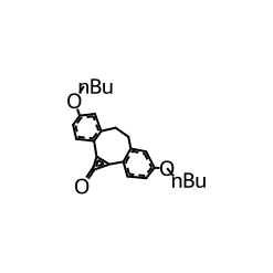 CCCCOc1ccc2c(c1)CCc1cc(OCCCC)ccc1-c1c-2c1=O